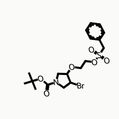 CC(C)(C)OC(=O)N1CC(Br)C(OCCOS(=O)(=O)Cc2ccccc2)C1